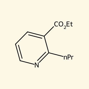 CCCc1ncccc1C(=O)OCC